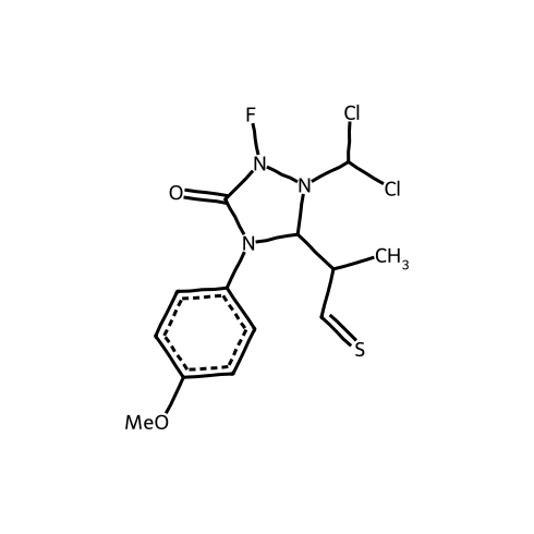 COc1ccc(N2C(=O)N(F)N(C(Cl)Cl)C2C(C)C=S)cc1